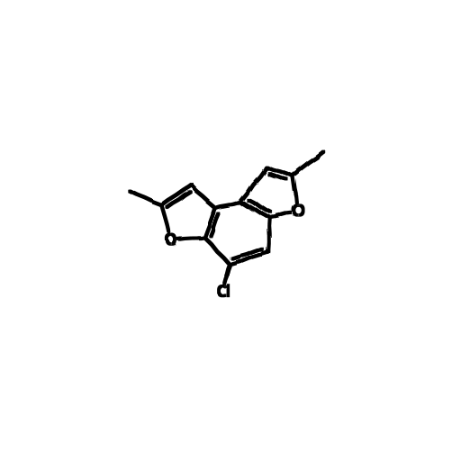 Cc1cc2c(cc(Cl)c3oc(C)cc32)o1